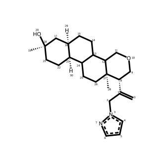 C=C(Cn1cccn1)[C@H]1COCC2C3CC[C@@H]4C[C@](C)(O)CC[C@@H]4C3CC[C@@]21C